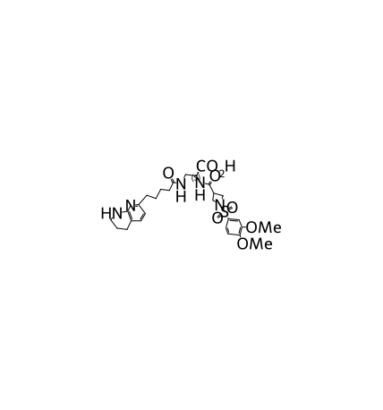 COc1ccc(S(=O)(=O)N2CC(C(=O)N[C@@H](CNC(=O)CCCCc3ccc4c(n3)NCCC4)C(=O)O)C2)cc1OC